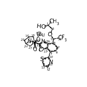 CC(O)COC(c1ccc(-c2nccs2)c2oc(N3CC4CC(C3)N4C(=O)OC(C)(C)C)nc12)C(F)(F)F